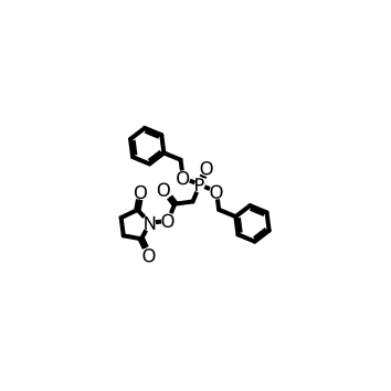 O=C(CP(=O)(OCc1ccccc1)OCc1ccccc1)ON1C(=O)CCC1=O